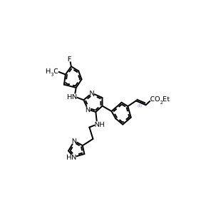 CCOC(=O)/C=C/c1cccc(-c2cnc(Nc3ccc(F)c(C)c3)nc2NCCc2c[nH]cn2)c1